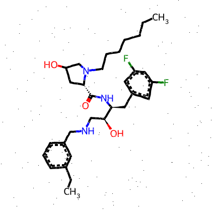 CCCCCCCN1CC(O)C[C@H]1C(=O)N[C@@H](Cc1cc(F)cc(F)c1)[C@@H](O)CNCc1cccc(CC)c1